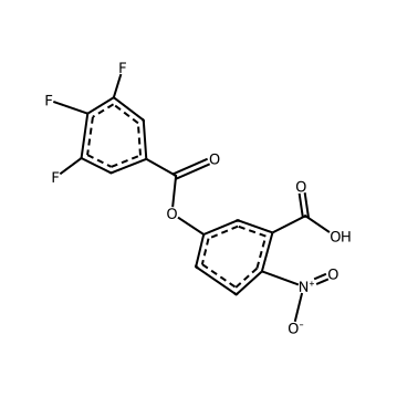 O=C(Oc1ccc([N+](=O)[O-])c(C(=O)O)c1)c1cc(F)c(F)c(F)c1